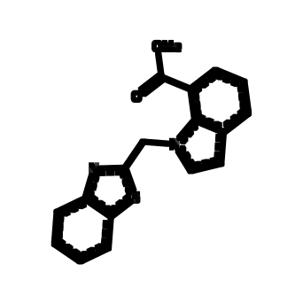 COC(=O)c1cccc2ccn(Cc3nc4ccccc4s3)c12